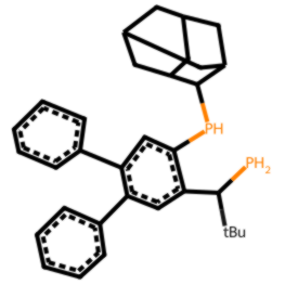 CC(C)(C)C(P)c1cc(-c2ccccc2)c(-c2ccccc2)cc1PC1C2CC3CC(C2)CC1C3